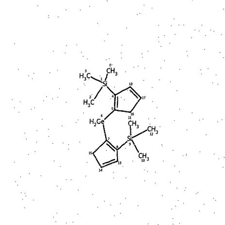 C[Si](C)(C)C1=[C]([GeH2][C]2=C([Si](C)(C)C)C=CC2)CC=C1